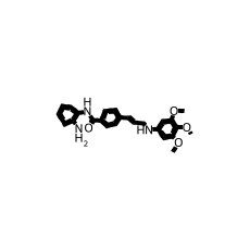 COc1cc(NCC=Cc2ccc(C(=O)Nc3ccccc3N)cc2)cc(OC)c1OC